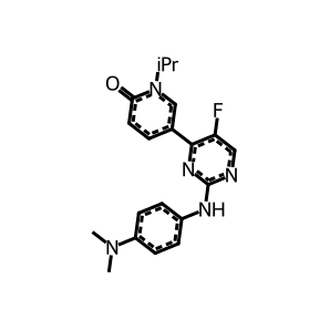 CC(C)n1cc(-c2nc(Nc3ccc(N(C)C)cc3)ncc2F)ccc1=O